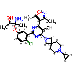 Cc1noc(C)c1-c1nc(-c2cc(OC(C)(N)C(C)O)ccc2Cl)nc(N2CC3(CCN(C4CC4)CC3)C2)c1C